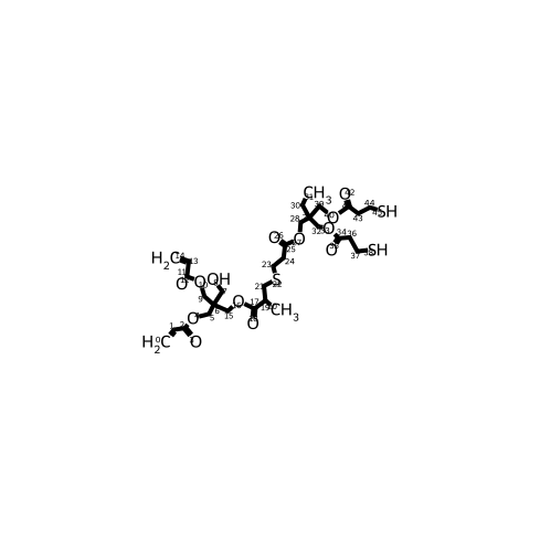 C=CC(=O)OCC(CO)(COC(=O)C=C)COC(=O)C(C)CSCCC(=O)OCC(CC)(COC(=O)CCS)COC(=O)CCS